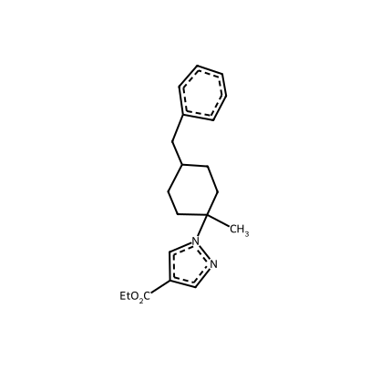 CCOC(=O)c1cnn(C2(C)CCC(Cc3ccccc3)CC2)c1